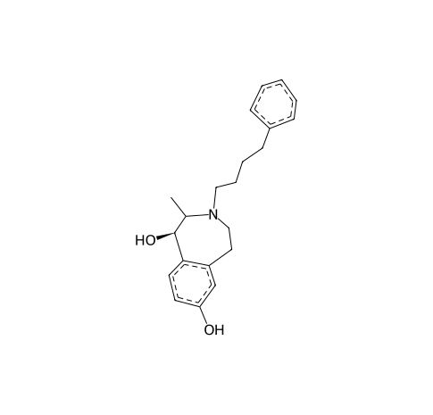 CC1[C@H](O)c2ccc(O)cc2CCN1CCCCc1ccccc1